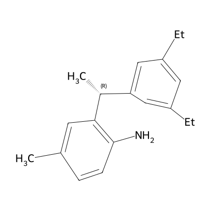 CCc1cc(CC)cc([C@@H](C)c2cc(C)ccc2N)c1